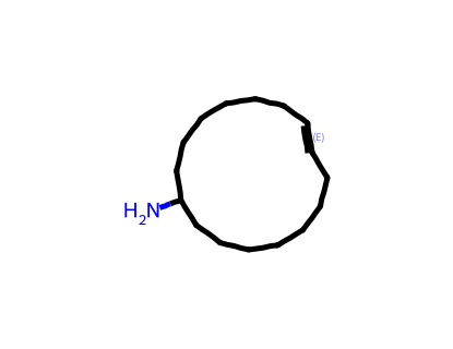 NC1CCCCCC/C=C/CCCCCCC1